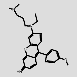 CCN(CCCN(C)C)c1ccc2c(-c3ccc(OC)cc3)c3ccc(=N)cc-3oc2c1